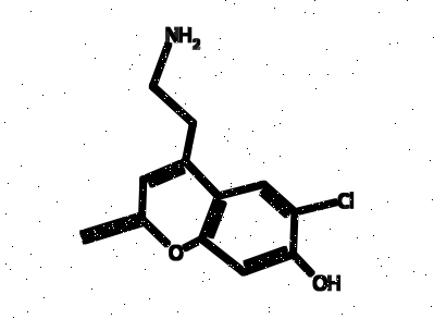 C=C1C=C(CCN)c2cc(Cl)c(O)cc2O1